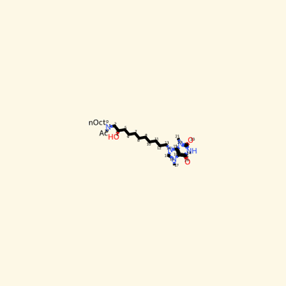 CCCCCCCCN(CC(O)CCCCCCCCCN1CN(C)c2c1n(C)c(=O)[nH]c2=O)C(C)=O